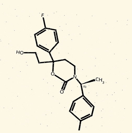 COc1ccc([C@H](C)N2CCC(CCO)(c3ccc(F)cc3)OC2=O)cc1